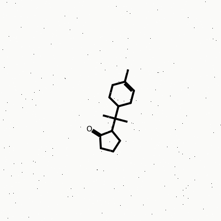 CC1=CCC(C(C)(C)C2CCCC2=O)CC1